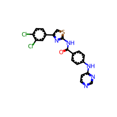 O=C(Nc1nc(-c2ccc(Cl)c(Cl)c2)cs1)c1ccc(Nc2ccncn2)cc1